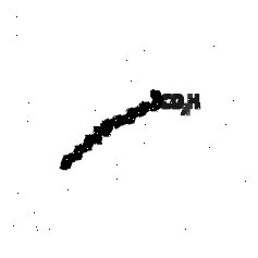 C=CCCCCCCC=CCCCCCCCC(C)C(=O)O